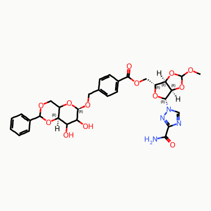 COC1O[C@@H]2[C@H](O1)[C@@H](COC(=O)c1ccc(CO[C@@H]3OC4COC(c5ccccc5)O[C@@H]4C(O)C3O)cc1)O[C@H]2n1cnc(C(N)=O)n1